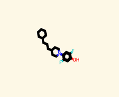 Oc1cc(F)c(N2CCC(CCCC3CCCCC3)CC2)cc1F